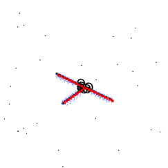 CC/C=C/C/C=C/C/C=C/C/C=C/C/C=C/CCCC(=O)OCC(COC(=O)CCC/C=C/C/C=C/C/C=C/C/C=C/C/C=C/CC)OC(=O)CCC/C=C/C/C=C/C/C=C/C/C=C/C/C=C/CC